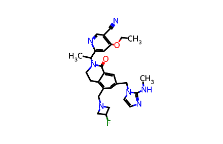 CCOc1cc(C(C)N2CCc3c(CN4CC(F)C4)cc(Cn4ccnc4NC)cc3C2=O)ncc1C#N